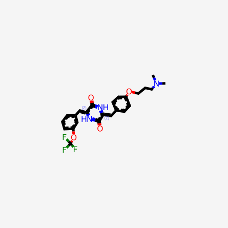 CN(C)CCCOc1ccc(/C=c2\[nH]c(=O)/c(=C/c3cccc(OC(F)(F)F)c3)[nH]c2=O)cc1